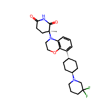 C[C@]1(N2CCOc3c2cccc3[C@H]2CC[C@H](N3CCCC(F)(F)C3)CC2)CCC(=O)NC1=O